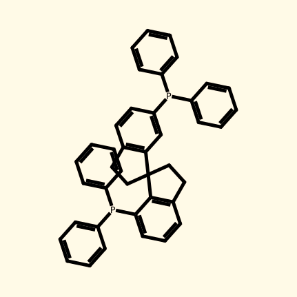 c1ccc(P(c2ccccc2)c2ccc3c(c2)C2(CC3)CCc3cccc(P(c4ccccc4)c4ccccc4)c32)cc1